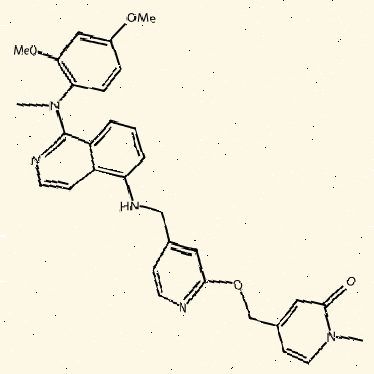 COc1ccc(N(C)c2nccc3c(NCc4ccnc(OCc5ccn(C)c(=O)c5)c4)cccc23)c(OC)c1